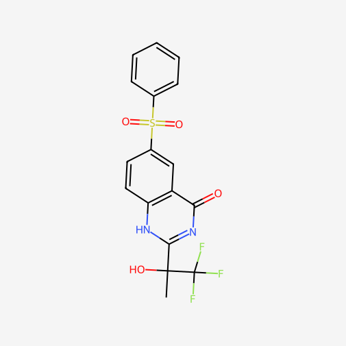 CC(O)(c1nc(=O)c2cc(S(=O)(=O)c3ccccc3)ccc2[nH]1)C(F)(F)F